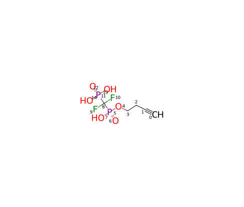 C#CCCOP(=O)(O)C(F)(F)P(=O)(O)O